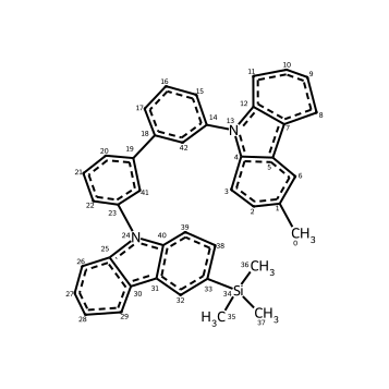 Cc1ccc2c(c1)c1ccccc1n2-c1cccc(-c2cccc(-n3c4ccccc4c4cc([Si](C)(C)C)ccc43)c2)c1